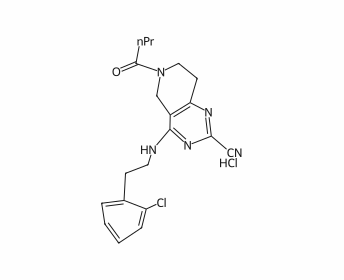 CCCC(=O)N1CCc2nc(C#N)nc(NCCc3ccccc3Cl)c2C1.Cl